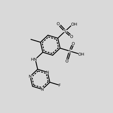 Cc1cc(S(=O)(=O)O)c(S(=O)(=O)O)cc1Nc1ncnc(F)n1